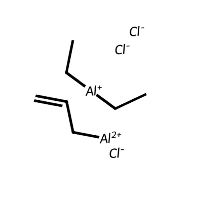 C=C[CH2][Al+2].C[CH2][Al+][CH2]C.[Cl-].[Cl-].[Cl-]